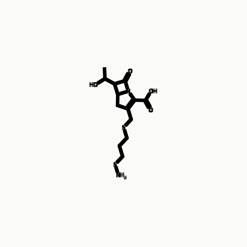 CC(O)C1C(=O)N2C(C(=O)O)=C(CSCCCSN)CC12